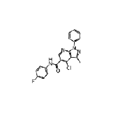 Cc1nn(-c2ccccc2)c2ncc(C(=O)Nc3ccc(F)cc3)c(Cl)c12